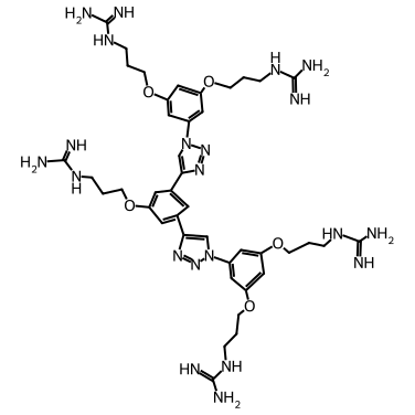 N=C(N)NCCCOc1cc(-c2cn(-c3cc(OCCCNC(=N)N)cc(OCCCNC(=N)N)c3)nn2)cc(-c2cn(-c3cc(OCCCNC(=N)N)cc(OCCCNC(=N)N)c3)nn2)c1